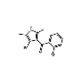 Cc1[nH]c(C)c(C(=O)c2ccccc2Cl)c1Br